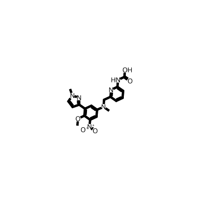 COc1c(-c2ccn(C)n2)cc(N(C)Cc2cccc(NC(=O)O)n2)cc1[N+](=O)[O-]